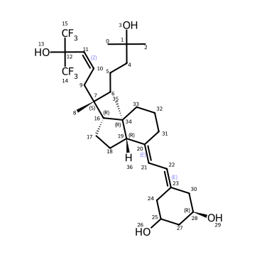 CC(C)(O)CCC[C@@](C)(C/C=C\C(O)(C(F)(F)F)C(F)(F)F)[C@H]1CC[C@H]2/C(=C/C=C3\CC(O)C[C@H](O)C3)CCC[C@]12C